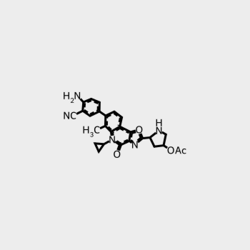 CC(=O)OC1CNC(c2nc3c(=O)n(C4CC4)c4c(C)c(-c5ccc(N)c(C#N)c5)ccc4c3o2)C1